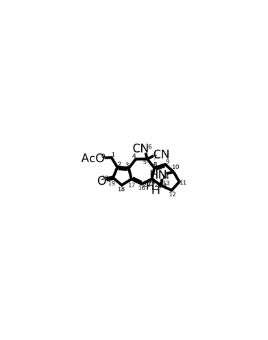 CC(=O)OCC1=C2CC(C#N)(C#N)C3=CC4CC[C@H](N4)[C@@H]3C=C2CC1=O